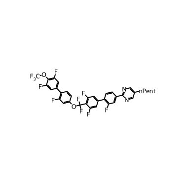 CCCCCc1cnc(-c2ccc(-c3cc(F)c(C(F)(F)Oc4ccc(-c5cc(F)c(OC(F)(F)F)c(F)c5)c(F)c4)c(F)c3)c(F)c2)nc1